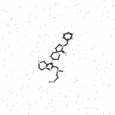 CNCCN(C)Cc1nn2c(c1[C@H]1CC[C@@]3(CCN(Cc4ccccc4)C3=O)CC1)COCC2